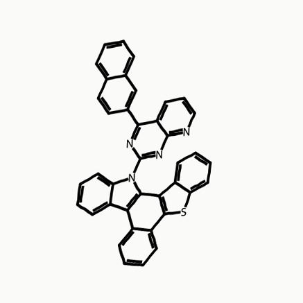 c1ccc2cc(-c3nc(-n4c5ccccc5c5c6ccccc6c6sc7ccccc7c6c54)nc4ncccc34)ccc2c1